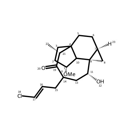 CO[C@@H]1CCC23CC[C@H]4C[C@@]4(C12)[C@H](O)CC(CC=CCl)C(=O)[C@@H]3C